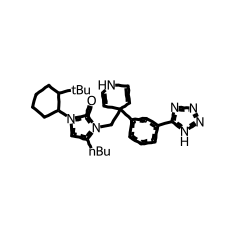 CCCCc1cn(C2CCCCC2C(C)(C)C)c(=O)n1CC1(c2cccc(-c3nnn[nH]3)c2)C=CNC=C1